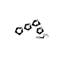 CCS.c1ccsc1.c1ccsc1.c1ccsc1.c1ccsc1